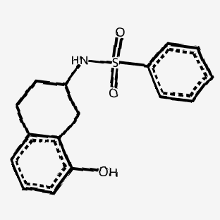 O=S(=O)(NC1CCc2cccc(O)c2C1)c1ccccc1